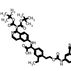 CCc1cc(C(Nc2ccc3c(N(C(=O)OC(C)(C)C)C(=O)OC(C)(C)C)nccc3c2)C(=O)O)ccc1CCOC(=O)Nc1cccc(C#N)c1